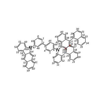 c1cc(-c2ccc(N(c3ccccc3-c3cccc4ccccc34)c3ccc(-c4cccc5ccccc45)c4ccccc34)cc2)cc(-n2c3ccccc3c3cc4ccccc4cc32)c1